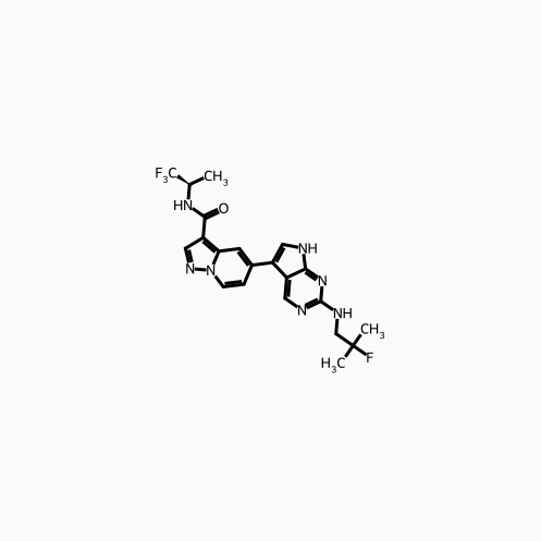 C[C@@H](NC(=O)c1cnn2ccc(-c3c[nH]c4nc(NCC(C)(C)F)ncc34)cc12)C(F)(F)F